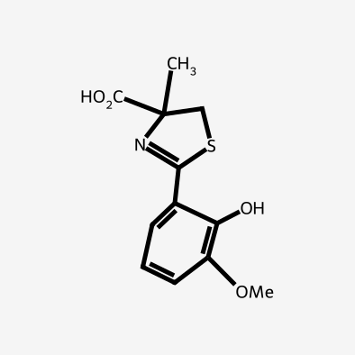 COc1cccc(C2=NC(C)(C(=O)O)CS2)c1O